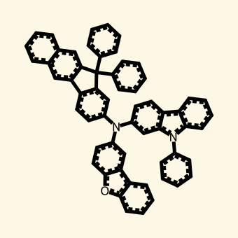 c1ccc(-n2c3ccccc3c3ccc(N(c4ccc5c(c4)C(c4ccccc4)(c4ccccc4)c4cc6ccccc6cc4-5)c4ccc5oc6ccccc6c5c4)cc32)cc1